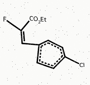 CCOC(=O)/C(F)=C\c1ccc(Cl)cc1